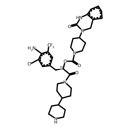 Nc1c(Cl)cc(C[C@@H](OC(=O)N2CCC(N3Cc4ccccc4NC3=O)CC2)C(=O)N2CCC(C3CCNCC3)CC2)cc1C(F)(F)F